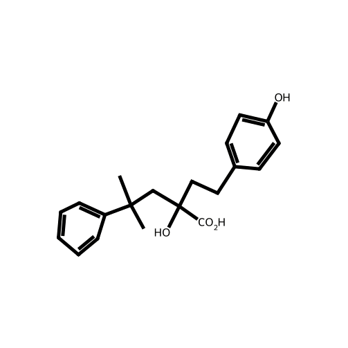 CC(C)(CC(O)(CCc1ccc(O)cc1)C(=O)O)c1ccccc1